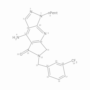 CCCCCn1ncc2c(N)c3c(nc21)CN(Cc1cccc(C(F)(F)F)c1)C3=O